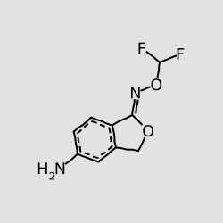 Nc1ccc2c(c1)CO/C2=N\OC(F)F